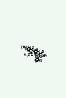 CCNCc1ccc2c(=O)n(-c3ccc(C[C@H](NC(=O)c4c(Cl)cccc4Cl)C(=O)OC(C)C)cc3)c(=O)n(C)c2c1